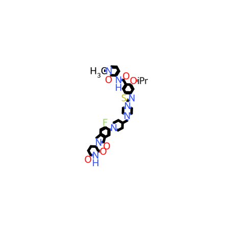 CC(C)Oc1cc2nc(N3CCN(CC4CCN(c5cc6c(cc5F)CN(C5CCC(=O)NC5=O)C6=O)CC4)CC3)sc2cc1C(=O)Nc1cccn(C)c1=O